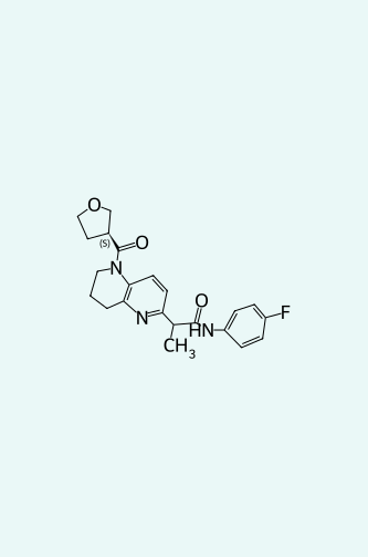 CC(C(=O)Nc1ccc(F)cc1)c1ccc2c(n1)CCCN2C(=O)[C@H]1CCOC1